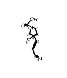 N#CC=CC1(F)CCN(C(=O)O)C1